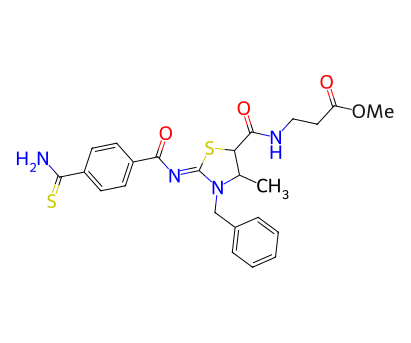 COC(=O)CCNC(=O)C1SC(=NC(=O)c2ccc(C(N)=S)cc2)N(Cc2ccccc2)C1C